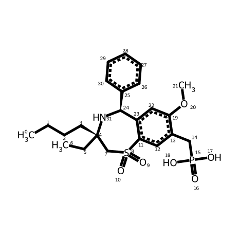 CCCC[C@]1(CC)CS(=O)(=O)c2cc(CP(=O)(O)O)c(OC)cc2[C@H](c2ccccc2)N1